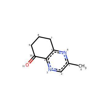 Cc1cnc2c(n1)CCCC2=O